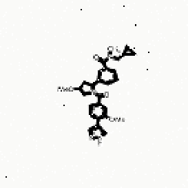 COc1cc(C(=O)N2CC(OC)CC2c2cccc(C(=O)N(C)CC3CC3)c2)ccc1-c1cn[nH]c1